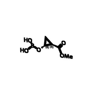 COC(=O)[C@@H]1C[C@H]1OB(O)O